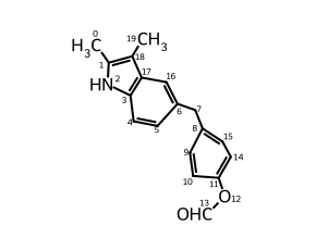 Cc1[nH]c2ccc(Cc3ccc(OC=O)cc3)cc2c1C